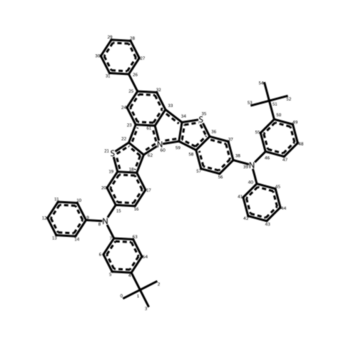 CC(C)(C)c1ccc(N(c2ccccc2)c2ccc3c(c2)sc2c4cc(-c5ccccc5)cc5c6sc7cc(N(c8ccccc8)c8cccc(C(C)(C)C)c8)ccc7c6n(c45)c32)cc1